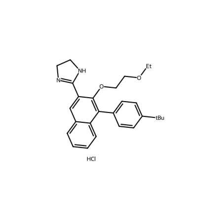 CCOCCOc1c(C2=NCCN2)cc2ccccc2c1-c1ccc(C(C)(C)C)cc1.Cl